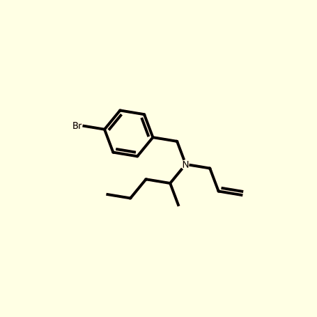 C=CCN(Cc1ccc(Br)cc1)C(C)CCC